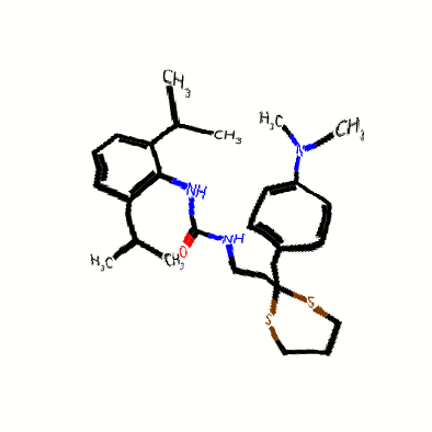 CC(C)c1cccc(C(C)C)c1NC(=O)NCC1(c2ccc(N(C)C)cc2)SCCCS1